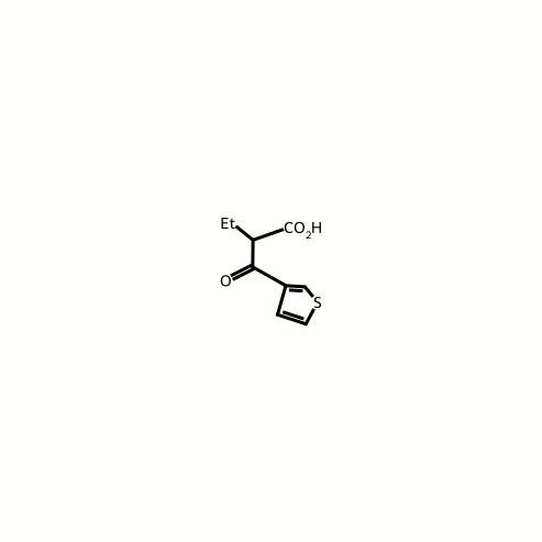 CCC(C(=O)O)C(=O)c1ccsc1